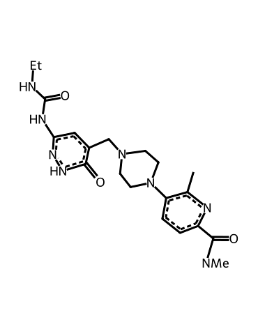 CCNC(=O)Nc1cc(CN2CCN(c3ccc(C(=O)NC)nc3C)CC2)c(=O)[nH]n1